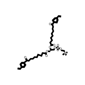 C=Cc1ccc(C(=O)CCCCCCCCC(=O)OC[C@H](COP(=O)([O-])OCC[N+](C)(C)C)OC(=O)CCCCCCCCC(=O)c2ccc(C=C)cc2)cc1